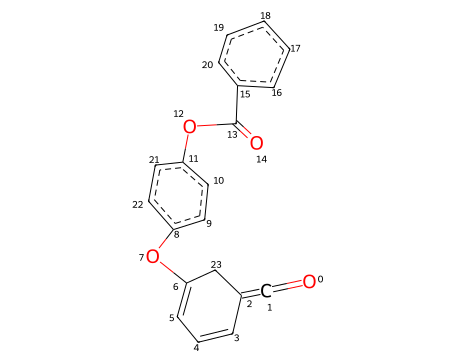 O=C=C1C=CC=C(Oc2ccc(OC(=O)c3ccccc3)cc2)C1